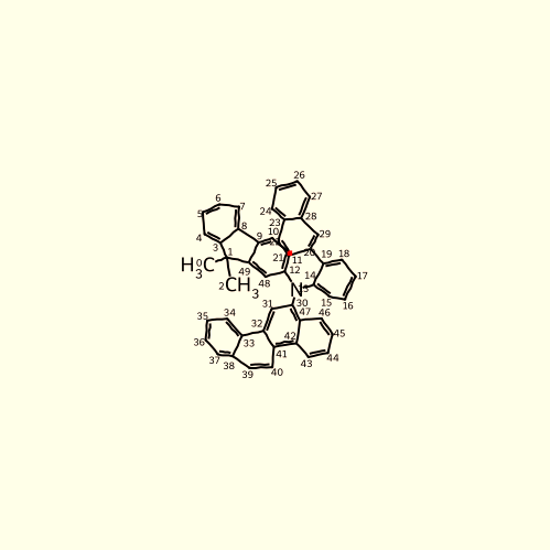 CC1(C)c2ccccc2-c2ccc(N(c3ccccc3-c3ccc4ccccc4c3)c3cc4c5ccccc5ccc4c4ccccc34)cc21